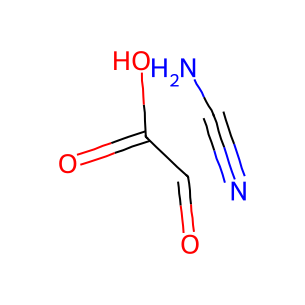 N#CN.O=CC(=O)O